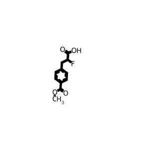 COC(=O)c1ccc(CC(F)C(=O)O)cc1